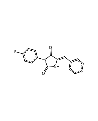 O=C1N/C(=C\c2ccncc2)C(=O)N1c1ccc(F)cc1